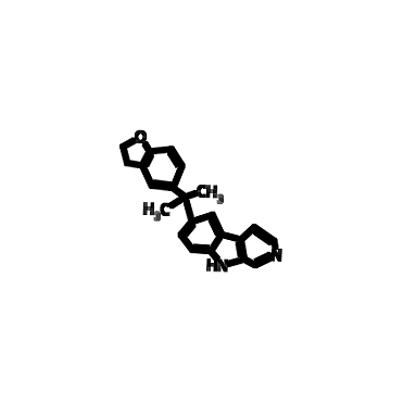 CC(C)(c1ccc2c(c1)CCO2)c1ccc2[nH]c3cnccc3c2c1